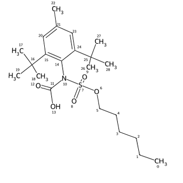 CCCCCCOS(=O)(=O)N(C(=O)O)c1c(C(C)(C)C)cc(C)cc1C(C)(C)C